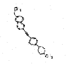 CCc1ccc2cc(C#Cc3ccc(C4CCC(C)CC4)cc3)ccc2c1